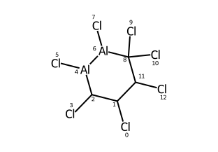 ClC1[CH](Cl)[Al]([Cl])[Al]([Cl])[C](Cl)(Cl)C1Cl